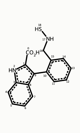 O=C(O)c1[nH]c2ccccc2c1-c1ccccc1CNS